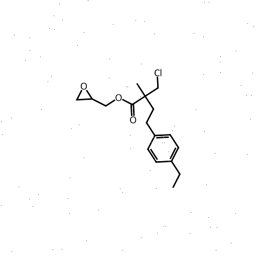 CCc1ccc(CCC(C)(CCl)C(=O)OCC2CO2)cc1